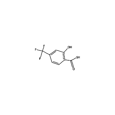 O=C(S)c1ccc(C(F)(F)F)cc1O